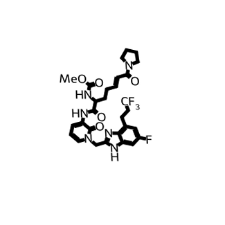 COC(=O)NC(CC/C=C/C(=O)N1CCCC1)C(=O)Nc1cccn(Cc2nc3c(CCC(F)(F)F)cc(F)cc3[nH]2)c1=O